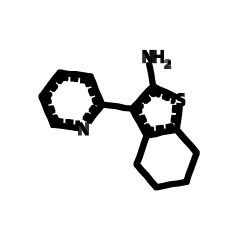 Nc1sc2c(c1-c1ccccn1)CCCC2